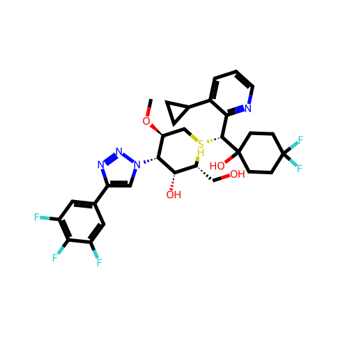 CO[C@H]1C[SH]([C@H](c2ncccc2C2CC2)C2(O)CCC(F)(F)CC2)[C@H](CO)[C@H](O)[C@@H]1n1cc(-c2cc(F)c(F)c(F)c2)nn1